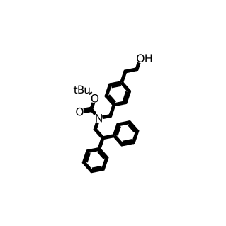 CC(C)(C)OC(=O)N(Cc1ccc(CCO)cc1)CC(c1ccccc1)c1ccccc1